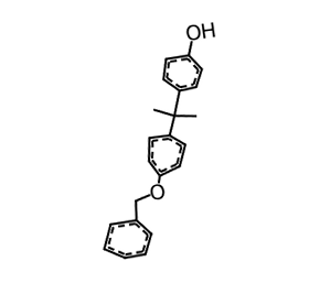 CC(C)(c1ccc(O)cc1)c1ccc(OCc2ccccc2)cc1